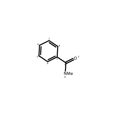 CNC(=O)c1c[c]ccc1